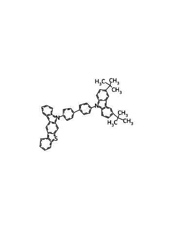 CC(C)(C)c1ccc2c(c1)c1cc(C(C)(C)C)ccc1n2-c1ccc(-c2ccc(-n3c4ccccc4c4cc5c(cc43)sc3ccccc35)cc2)cc1